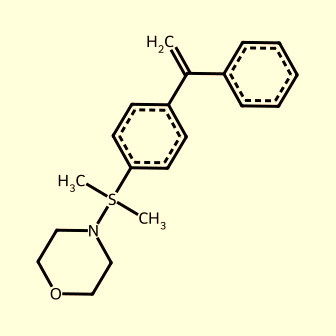 C=C(c1ccccc1)c1ccc(S(C)(C)N2CCOCC2)cc1